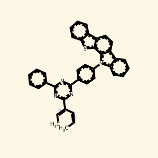 C/C=C\C(=C/C)c1nc(-c2ccccc2)nc(-c2ccc(-n3c4ccccc4c4ccc5c6ccccc6sc5c43)cc2)n1